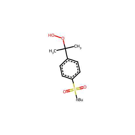 CCCCS(=O)(=O)c1ccc(C(C)(C)OO)cc1